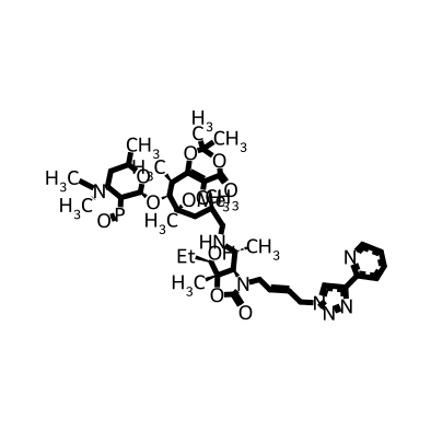 CC[C@@H](O)[C@@]1(C)OC(=O)N(C/C=C/Cn2cc(-c3ccccn3)nn2)[C@@H]1[C@@H](C)NC[C@H](C)C[C@@](C)(OC)[C@H](O[C@@H]1OC(C)CC(N(C)C)C1P=O)[C@@H](C)C1=C(C)C(=O)OC(C)(C)O1